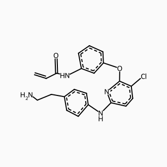 C=CC(=O)Nc1cccc(Oc2nc(Nc3ccc(CCN)cc3)ccc2Cl)c1